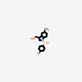 Cc1ccc2c(c1)c(CO)cn2[S+]([O-])c1ccc(Cl)cc1